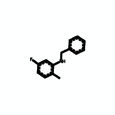 Cc1ccc(F)cc1NCc1ccccc1